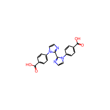 O=C(O)c1ccc(-n2ccnc2-c2nccn2-c2ccc(C(=O)O)cc2)cc1